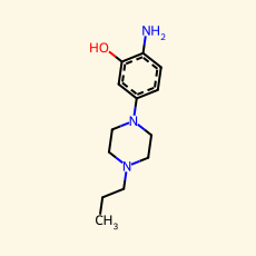 CCCN1CCN(c2ccc(N)c(O)c2)CC1